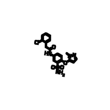 Cn1nccc1Oc1ccc(NC(=O)Cc2ccccc2Cl)cc1S(N)(=O)=O